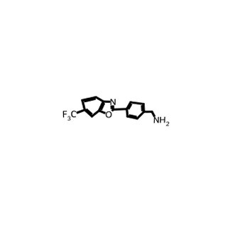 NCc1ccc(-c2nc3ccc(C(F)(F)F)cc3o2)cc1